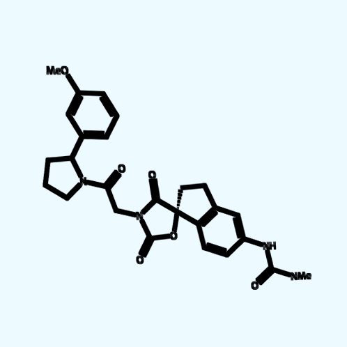 CNC(=O)Nc1ccc2c(c1)CC[C@@]21OC(=O)N(CC(=O)N2CCCC2c2cccc(OC)c2)C1=O